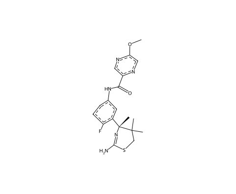 COc1cnc(C(=O)Nc2ccc(F)c([C@@]3(C)N=C(N)SCC3(C)C)c2)cn1